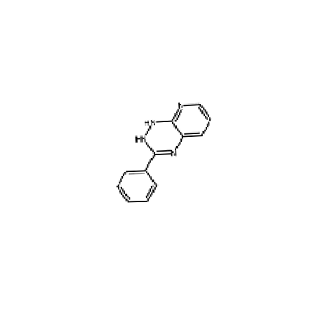 c1ccc(C2=Nc3cccnc3NN2)cc1